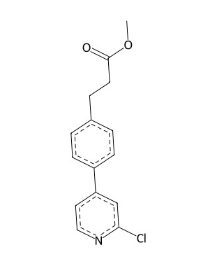 COC(=O)CCc1ccc(-c2ccnc(Cl)c2)cc1